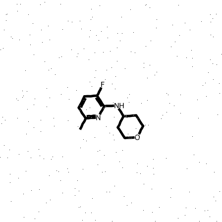 Cc1ccc(F)c(NC2CCOCC2)n1